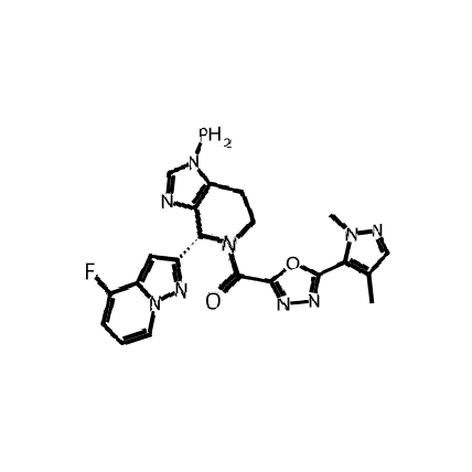 Cc1cnn(C)c1-c1nnc(C(=O)N2CCc3c(ncn3P)[C@H]2c2cc3c(F)cccn3n2)o1